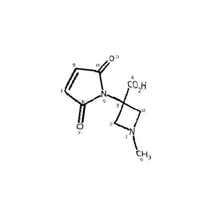 CN1CC(C(=O)O)(N2C(=O)C=CC2=O)C1